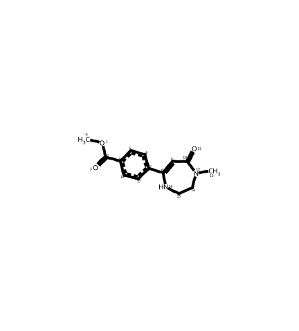 COC(=O)c1ccc(C2=CC(=O)N(C)CCN2)cc1